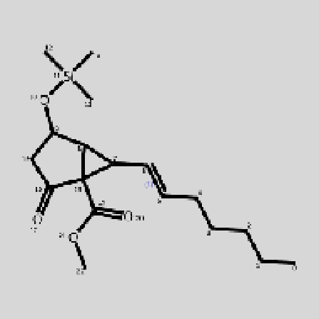 CCCCC/C=C/C1C2C(O[Si](C)(C)C)CC(=O)C12C(=O)OC